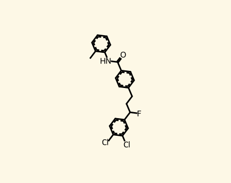 Cc1ccccc1NC(=O)c1ccc(CCC(F)c2ccc(Cl)c(Cl)c2)cc1